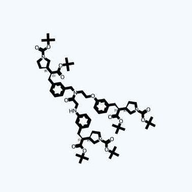 CC(C)(C)OC(=O)[C@@H](Cc1cccc(CN(CCOc2cccc(C[C@H](C(=O)OC(C)(C)C)[C@H]3CCN(C(=O)OC(C)(C)C)C3)c2)C(=O)CNc2cccc(C[C@H](C(=O)OC(C)(C)C)[C@H]3CCN(C(=O)OC(C)(C)C)C3)c2)c1)[C@H]1CCN(C(=O)OC(C)(C)C)C1